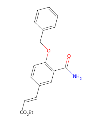 CCOC(=O)/C=C/c1ccc(OCc2ccccc2)c(C(N)=O)c1